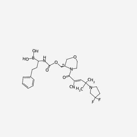 CC(C)(C=C(C#N)C(=O)N1CCOC[C@@H]1COC(=O)NC(CCc1ccccc1)B(O)O)N1CCC(F)(F)C1